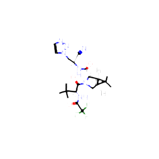 CC(C)(C)[C@H](NC(=O)C(F)(F)F)C(=O)N1C[C@H]2[C@@H]([C@H]1C(=O)N[C@H](C#N)Cn1ccnn1)C2(C)C